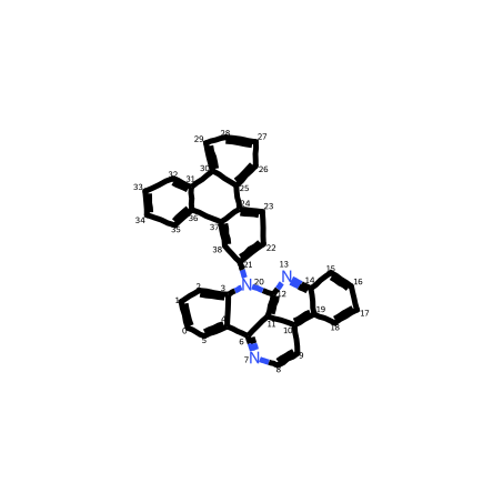 c1ccc2c(c1)-c1nccc3c1c(nc1ccccc13)N2c1ccc2c3ccccc3c3ccccc3c2c1